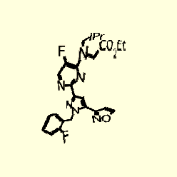 CCOC(=O)CN(CC(C)C)c1nc(-c2cc(-c3ccon3)n(Cc3ccccc3F)n2)ncc1F